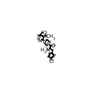 CC1OCc2ncnc(N3CCN(C(=O)[C@H](N)Cc4ccc(Cl)cc4)CC3)c21